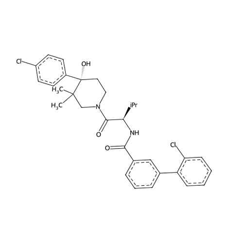 CC(C)[C@@H](NC(=O)c1cccc(-c2ccccc2Cl)c1)C(=O)N1CC[C@](O)(c2ccc(Cl)cc2)C(C)(C)C1